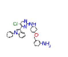 Nc1cccc(COC2CCC(Nc3ncc(Cl)c(-c4cn(-c5ccccc5)c5ccccc45)n3)CC2)c1